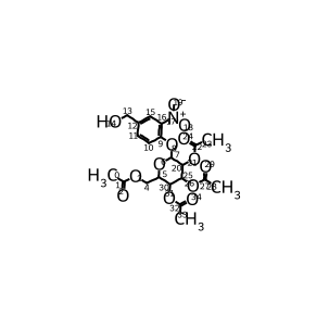 CC(=O)OCC1OC(Oc2ccc(CO)cc2[N+](=O)[O-])C(OC(C)=O)C(OC(C)=O)C1OC(C)=O